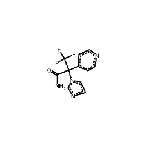 NC(=O)C(c1ccncc1)(n1ccnc1)C(F)(F)F